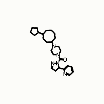 O=C(N1CCN(C2CCCCC(C3CCCC3)CC2)CC1)N1N=CCC1c1ccccn1